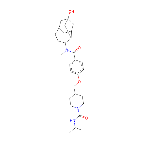 CC(C)NC(=O)N1CCC(COc2ccc(C(=O)N(C)C3CCC4CC5CC(O)(C4)CC53)cc2)CC1